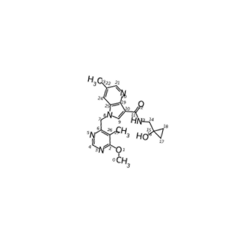 COc1ncnc(Cn2cc(C(=O)NCC3(O)CC3)c3ncc(C)cc32)c1C